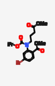 COC(=O)CCCN(C(=O)OC(C)C)c1cc(Br)ccc1C(=O)OC